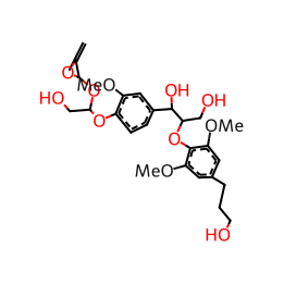 C=C1OC1OC(CO)Oc1ccc(C(O)C(CO)Oc2c(OC)cc(CCCO)cc2OC)cc1OC